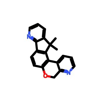 CC1(C)c2cccnc2-c2ccc3c(c21)-c1cccnc1CO3